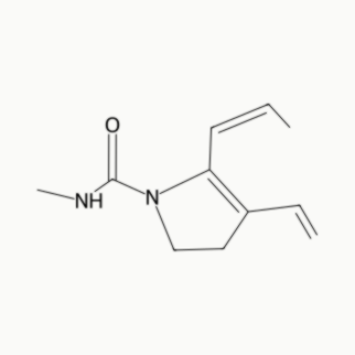 C=CC1=C(/C=C\C)N(C(=O)NC)CC1